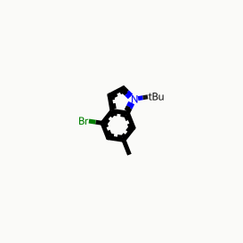 Cc1cc(Br)c2ccn(C(C)(C)C)c2c1